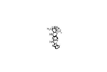 CN1C(C)(C)CC(Nc2nc(Nc3nc4cccnc4s3)ncc2F)CC1(C)C